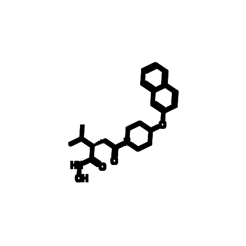 CC(C)[C@H](CC(=O)N1CCC(Oc2ccc3ccccc3c2)CC1)C(=O)NO